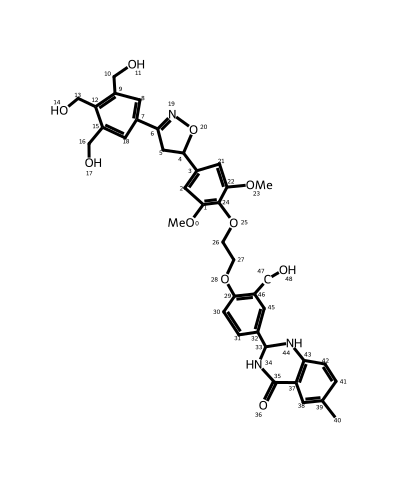 COc1cc(C2CC(c3cc(CO)c(CO)c(CO)c3)=NO2)cc(OC)c1OCCOc1ccc(C2NC(=O)c3cc(C)ccc3N2)cc1CO